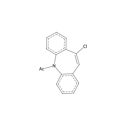 CC(=O)N1c2ccccc2C=C(Cl)c2ccccc21